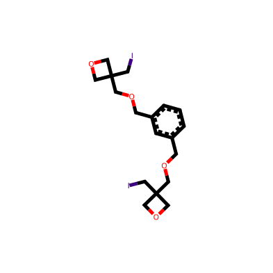 ICC1(COCc2cccc(COCC3(CI)COC3)c2)COC1